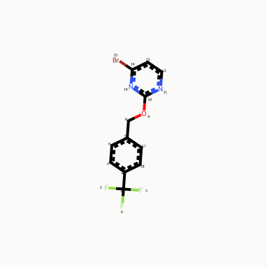 FC(F)(F)c1ccc(COc2nccc(Br)n2)cc1